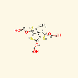 CCC(CC(=S)OCO)(CC(=S)OCO)CC(=S)OCO